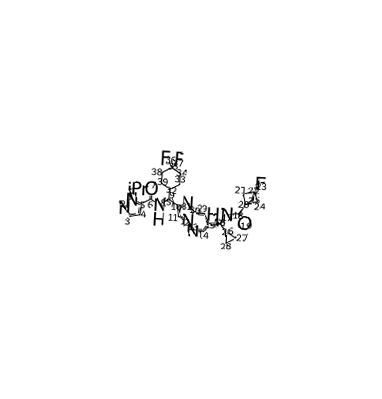 CC(C)n1nccc1C(=O)N[C@H](c1cn2ncc([C@H](NC(=O)[C@]34C[C@@](F)(C3)C4)C3CC3)cc2n1)C1CCC(F)(F)CC1